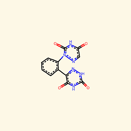 O=c1cnn(-c2ccccc2-c2n[nH]c(=O)[nH]c2=O)c(=O)[nH]1